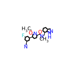 CCOc1nc(C(=O)N(C)Cc2cccc3cn[nH]c23)ccc1-c1cc(F)cc(C#N)c1